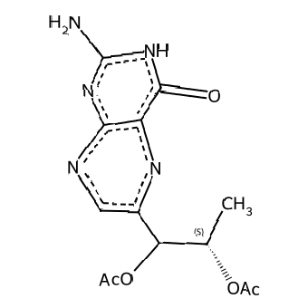 CC(=O)OC(c1cnc2nc(N)[nH]c(=O)c2n1)[C@H](C)OC(C)=O